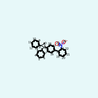 C[Si](c1ccccc1)(c1ccccc1)c1ccc(-c2ccccc2[N+](=O)[O-])cc1